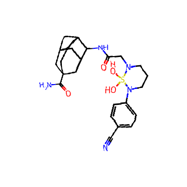 N#Cc1ccc(N2CCCN(CC(=O)NC3C4CC5CC3CC(C(N)=O)(C5)C4)S2(O)O)cc1